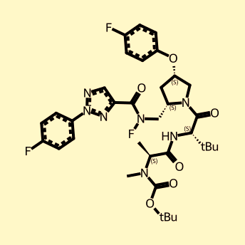 C[C@@H](C(=O)N[C@H](C(=O)N1C[C@@H](Oc2ccc(F)cc2)C[C@H]1CN(F)C(=O)c1cnn(-c2ccc(F)cc2)n1)C(C)(C)C)N(C)C(=O)OC(C)(C)C